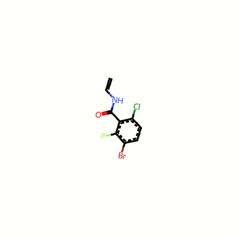 C=CNC(=O)c1c(Cl)ccc(Br)c1F